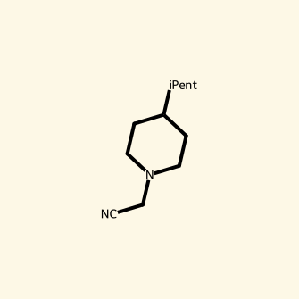 CCCC(C)C1CCN(CC#N)CC1